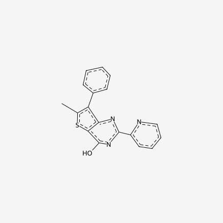 Cc1sc2c(O)nc(-c3ccccn3)nc2c1-c1ccccc1